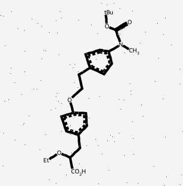 CCOC(Cc1ccc(OCCc2ccc(N(C)C(=O)OC(C)(C)C)cc2)cc1)C(=O)O